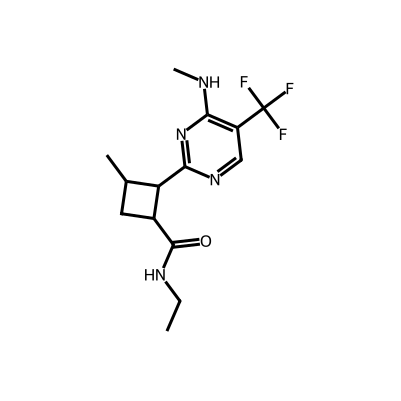 CCNC(=O)C1CC(C)C1c1ncc(C(F)(F)F)c(NC)n1